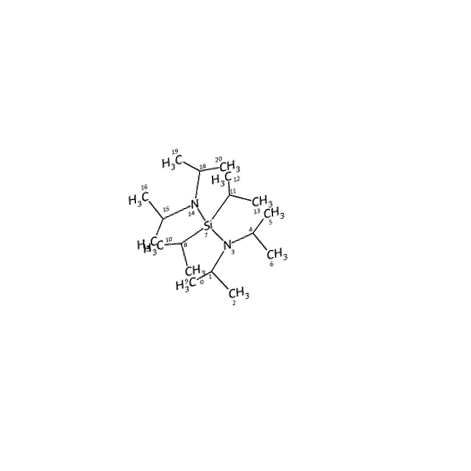 CC(C)N(C(C)C)[Si](C(C)C)(C(C)C)N(C(C)C)C(C)C